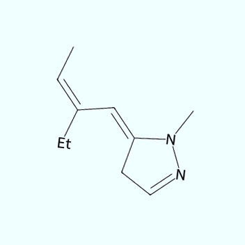 C/C=C(\C=C1/CC=NN1C)CC